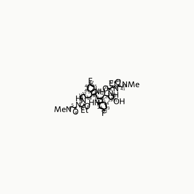 CCC(NC(=O)CNC)C(=O)N1CCCC1Cc1c(-c2[nH]c3cc(F)ccc3c2CC2CC(O)CN2C(=O)C(CC)NC(=O)CNC)[nH]c2cc(F)ccc12